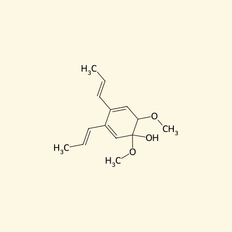 CC=CC1=CC(OC)C(O)(OC)C=C1C=CC